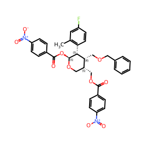 Cc1cc(F)ccc1[C@H]1[C@H](OC(=O)c2ccc([N+](=O)[O-])cc2)OC[C@@H](COC(=O)c2ccc([N+](=O)[O-])cc2)[C@H]1COCc1ccccc1